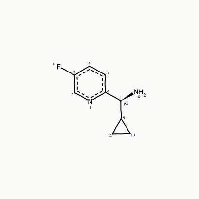 N[C@H](c1ccc(F)cn1)C1CC1